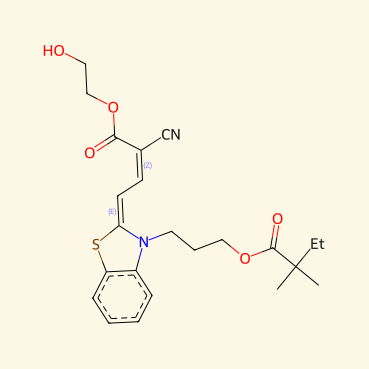 CCC(C)(C)C(=O)OCCCN1/C(=C\C=C(\C#N)C(=O)OCCO)Sc2ccccc21